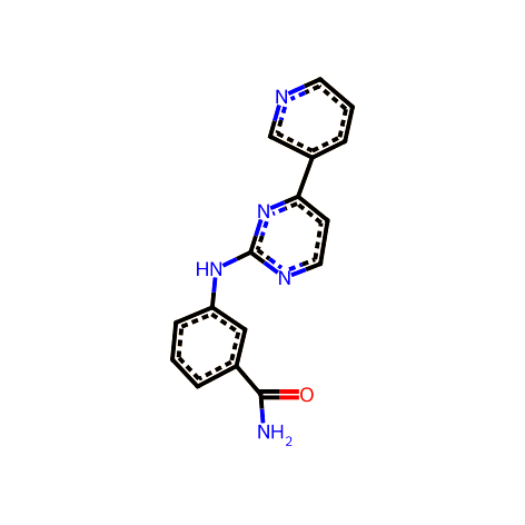 NC(=O)c1cccc(Nc2nccc(-c3cccnc3)n2)c1